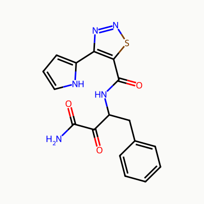 NC(=O)C(=O)C(Cc1ccccc1)NC(=O)c1snnc1-c1ccc[nH]1